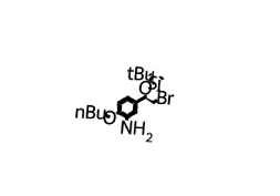 CCCCOc1ccc([C@H](CBr)O[Si](C)(C)C(C)(C)C)cc1N